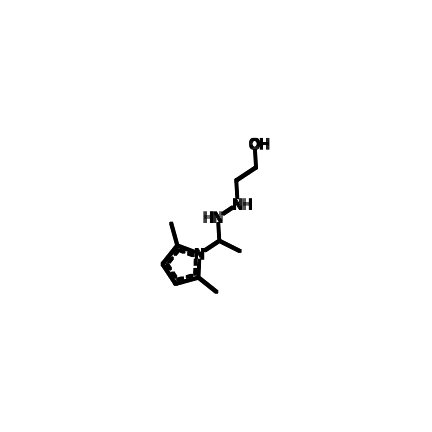 Cc1ccc(C)n1C(C)NNCCO